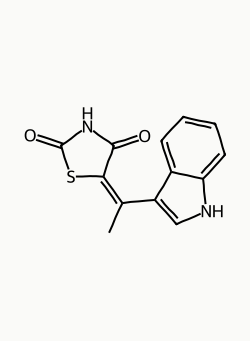 CC(=C1SC(=O)NC1=O)c1c[nH]c2ccccc12